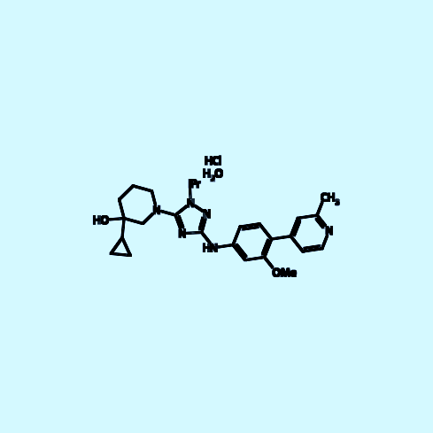 COc1cc(Nc2nc(N3CCCC(O)(C4CC4)C3)n(C(C)C)n2)ccc1-c1ccnc(C)c1.Cl.O